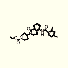 CCOC(=O)N1CCC(n2ccc3c(NC(=O)c4ccc(C)cc4C)cccc3c2=O)CC1